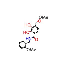 COOCc1ccc(C(=O)NCc2ccccc2OC)c(O)c1O